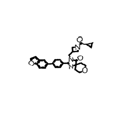 O=C(C1CC1)N1CC(CN2C(=O)C3(CCOCC3)N=C2c2ccc(-c3ccc4occc4c3)cc2)C1